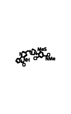 CNC(=O)c1cc(Cl)c(N2CCN(Cc3cnc4c(c3)[nH]c(=O)n3cccc43)CC2)c(SC)c1